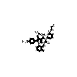 CN(C)Cc1c(-c2ccc(N)cc2)sc2c1c(=O)n(-c1cccc(OCCF)n1)c(=O)n2Cc1c(F)cccc1F